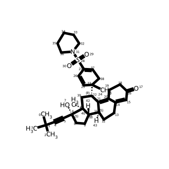 CC(C)(C)C#C[C@]1(O)CC[C@H]2[C@@H]3CCC4=CC(=O)CCC4=C3[C@@H](C3(C)C=CC(S(=O)(=O)N4CCCCC4)=CC3)C[C@@]21C